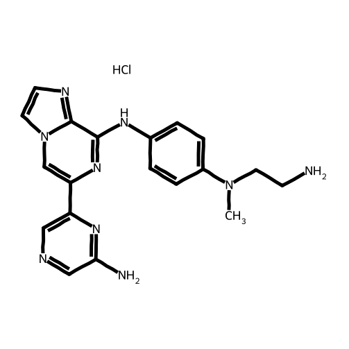 CN(CCN)c1ccc(Nc2nc(-c3cncc(N)n3)cn3ccnc23)cc1.Cl